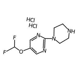 Cl.Cl.FC(F)Oc1cnc(N2CCNCC2)nc1